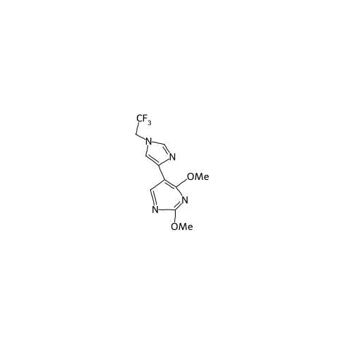 COc1ncc(-c2cn(CC(F)(F)F)cn2)c(OC)n1